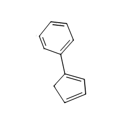 [C]1C=CC=C1c1ccccc1